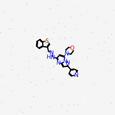 C(=N\Nc1cc(N2CCOCC2)n2nc(-c3ccncc3)cc2n1)/c1csc2ccccc12